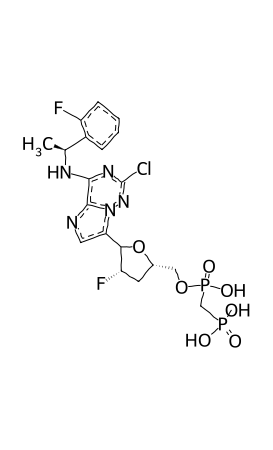 C[C@H](Nc1nc(Cl)nn2c(C3O[C@H](COP(=O)(O)CP(=O)(O)O)C[C@@H]3F)cnc12)c1ccccc1F